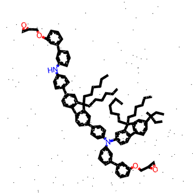 CCCCCCC1(CCCCCC)c2cc(-c3ccc(Nc4cccc(-c5cccc(OCC6CO6)c5)c4)cc3)ccc2-c2ccc(-c3ccc(N(c4cccc(-c5cccc(OCC6CO6)c5)c4)c4ccc5c(c4)C(CCCCCC)(CCCCCC)c4cc(C(C)(CC)CC)ccc4-5)cc3)cc21